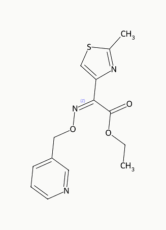 CCOC(=O)/C(=N\OCc1cccnc1)c1csc(C)n1